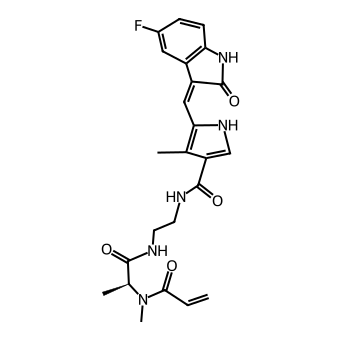 C=CC(=O)N(C)[C@@H](C)C(=O)NCCNC(=O)c1c[nH]c(C=C2C(=O)Nc3ccc(F)cc32)c1C